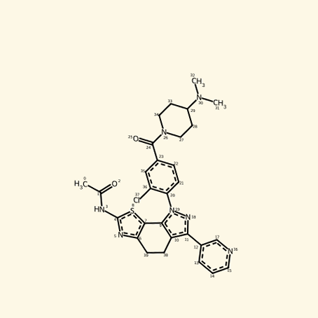 CC(=O)Nc1nc2c(s1)-c1c(c(-c3cccnc3)nn1-c1ccc(C(=O)N3CCC(N(C)C)CC3)cc1Cl)CC2